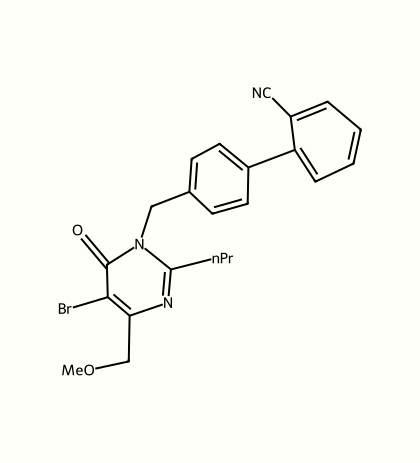 CCCc1nc(COC)c(Br)c(=O)n1Cc1ccc(-c2ccccc2C#N)cc1